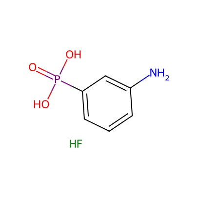 F.Nc1cccc(P(=O)(O)O)c1